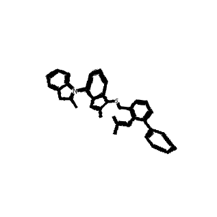 CC(C)=Cc1c(CSC2C(C)=Cc3c2cccc3N2c3ccccc3CC2C)cccc1-c1ccccc1